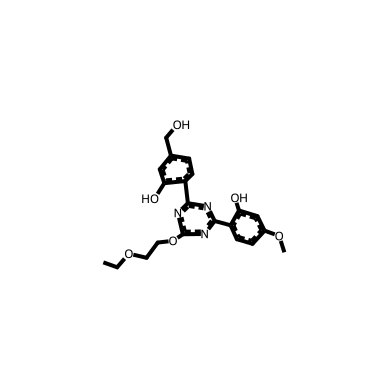 CCOCCOc1nc(-c2ccc(CO)cc2O)nc(-c2ccc(OC)cc2O)n1